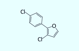 Clc1ccc(-c2occc2Cl)cc1